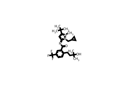 Cn1c(C(C)(C)C)cc(=NC(=O)c2cc(C(F)(F)F)ccc2CCC(C)(C)O)n1CC1CC1